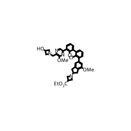 CCOC(=O)C1CN(C2Cc3cc(-c4cccc(-c5cccc(-c6cnc(CN7CC(O)C7)c(OC)n6)c5Cl)c4Cl)cc(OC)c3C2)C1